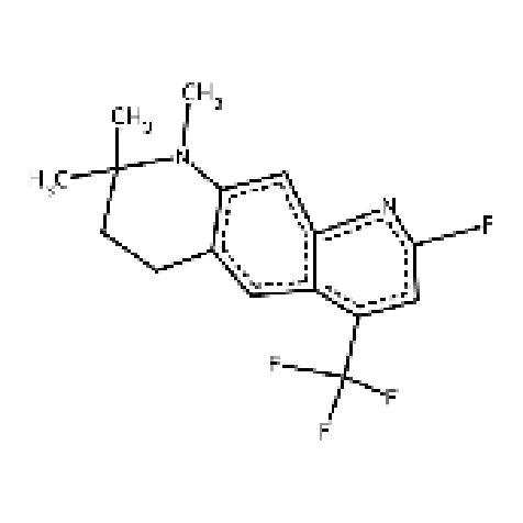 CN1c2cc3nc(F)cc(C(F)(F)F)c3cc2CCC1(C)C